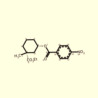 CCOC(=O)[C@]1(C)CCC[C@H](OC(=O)c2ccc([N+](=O)[O-])cc2)C1